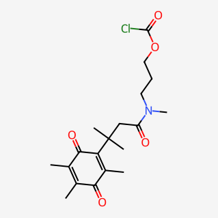 CC1=C(C)C(=O)C(C(C)(C)CC(=O)N(C)CCCOC(=O)Cl)=C(C)C1=O